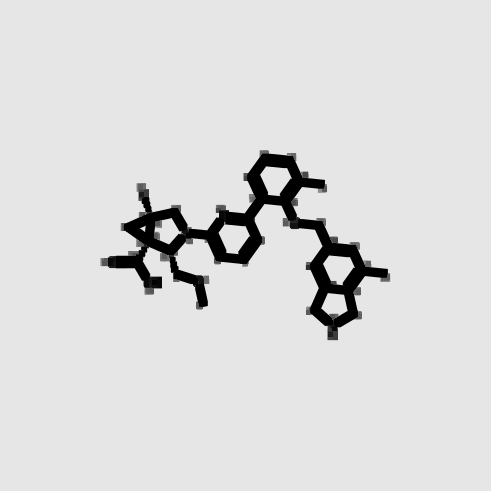 COC[C@H]1N(c2cccc(-c3cccc(C)c3OCc3cc(C)c4c(c3)CNC4)n2)C[C@@H]2C[C@@]21C(=O)O